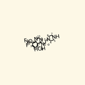 C[C@@H](CN1CCNCC1)Nc1ncnc2c(OC(F)F)cccc12.Cl